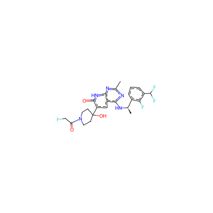 Cc1nc(N[C@H](C)c2cccc(C(F)F)c2F)c2cc(C3(O)CCN(C(=O)CF)CC3)c(=O)[nH]c2n1